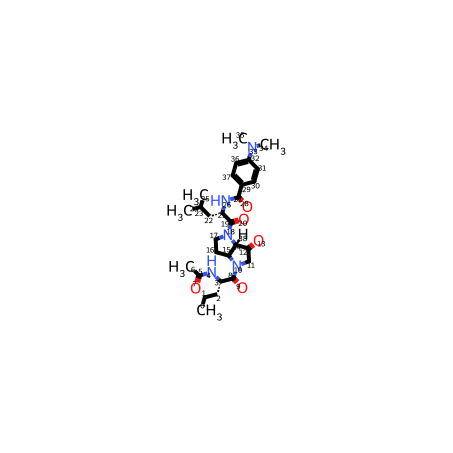 CCC[C@H](NC(C)=O)C(=O)N1CC(=O)[C@@H]2C1CCN2C(=O)[C@H](CC(C)C)NC(=O)c1ccc(N(C)C)cc1